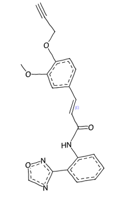 C#CCOc1ccc(/C=C/C(=O)Nc2ccccc2-c2ncon2)cc1OC